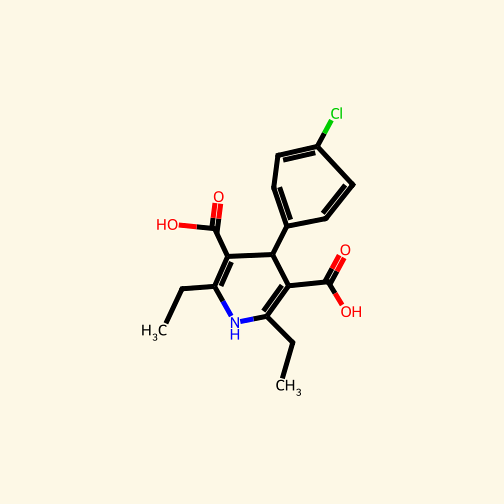 CCC1=C(C(=O)O)C(c2ccc(Cl)cc2)C(C(=O)O)=C(CC)N1